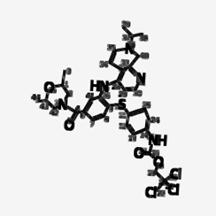 CC1CN(C(=O)c2ccc(Sc3ccc(NC(=O)OCC(Cl)(Cl)Cl)cc3)c(Nc3ccnc4c3C=CN(C(C)C)C4)c2)CC(C)O1